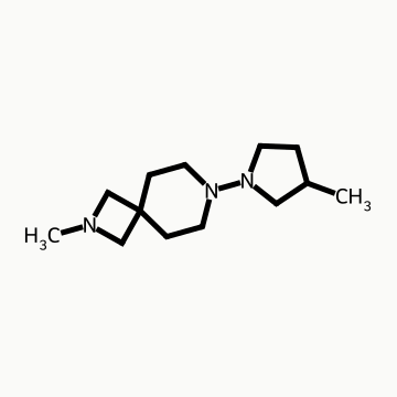 CC1CCN(N2CCC3(CC2)CN(C)C3)C1